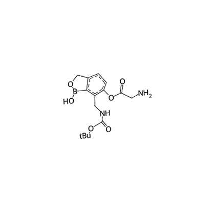 CC(C)(C)OC(=O)NCc1c(OC(=O)CN)ccc2c1B(O)OC2